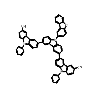 N#Cc1ccc2c(c1)c1cc(-c3ccc4c(c3)c3cc(-c5ccc6c(c5)c5cc(C#N)ccc5n6-c5ccccc5)ccc3n4-c3ccc4oc5ccccc5c4c3)ccc1n2-c1ccccc1